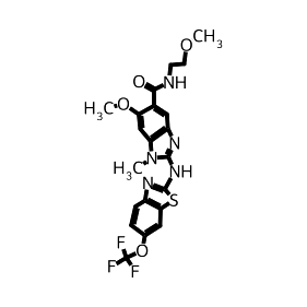 COCCNC(=O)c1cc2nc(Nc3nc4ccc(OC(F)(F)F)cc4s3)n(C)c2cc1OC